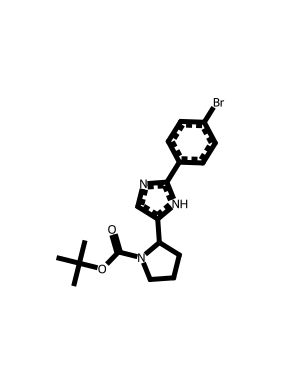 CC(C)(C)OC(=O)N1CCCC1c1cnc(-c2ccc(Br)cc2)[nH]1